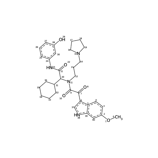 COc1ccc2c(C(=O)C(=O)N(CCCN3CCCC3)C(C(=O)Nc3cccc(O)c3)C3CCCCC3)c[nH]c2c1